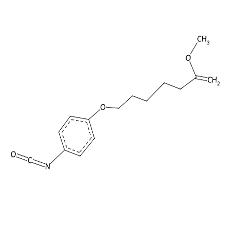 C=C(CCCCCOc1ccc(N=C=O)cc1)OC